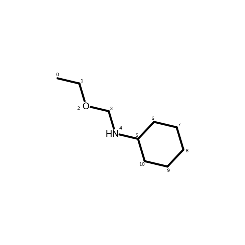 CCOCNC1CCCCC1